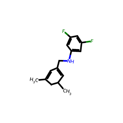 CC1=CC(CNc2cc(F)cc(F)c2)=CC(C)[CH]1